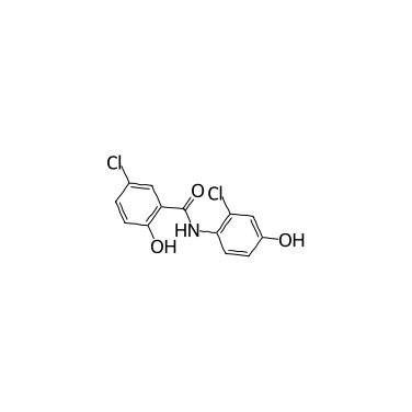 O=C(Nc1ccc(O)cc1Cl)c1cc(Cl)ccc1O